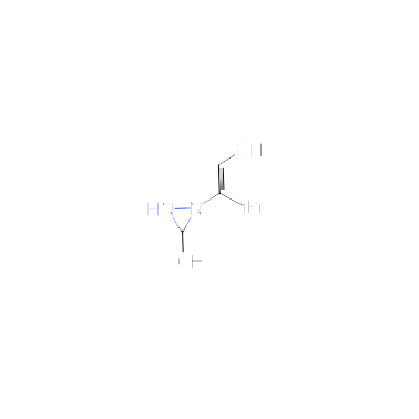 CC=C(C(C)C)N1NC1C